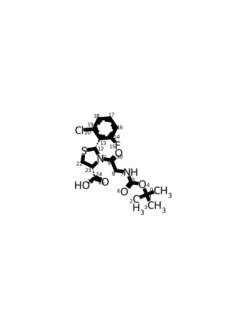 CC(C)(C)OC(=O)NCC(=O)N1[C@@H](c2c(F)cccc2Cl)SC[C@H]1C(=O)O